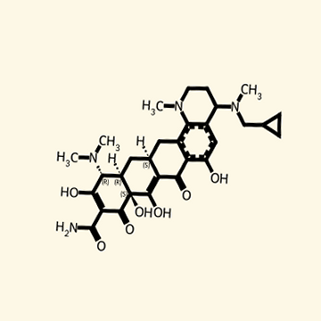 CN1CCC(N(C)CC2CC2)c2cc(O)c3c(c21)C[C@@H]1C[C@@H]2[C@@H](N(C)C)C(O)=C(C(N)=O)C(=O)[C@@]2(O)C(O)=C1C3=O